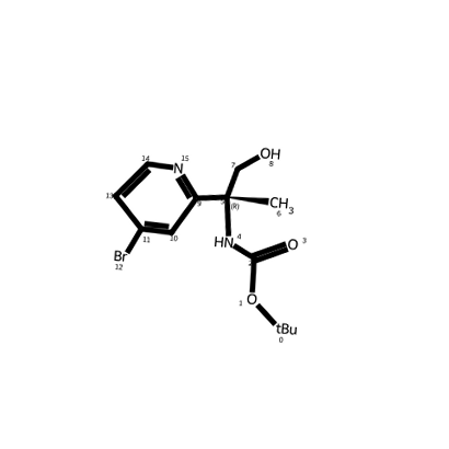 CC(C)(C)OC(=O)N[C@@](C)(CO)c1cc(Br)ccn1